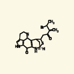 C=C(C(=O)CC1S[C@@H]2CC1C1=C(N2)C(=O)c2[nH]cc3c2C1=NCC3)C(C)Br